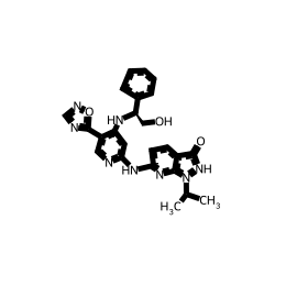 CC(C)n1[nH]c(=O)c2ccc(Nc3cc(N[C@H](CO)c4ccccc4)c(-c4ncno4)cn3)nc21